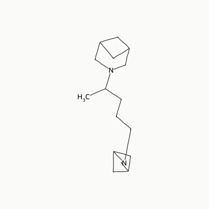 CC(CCCN1CC2CC1C2)N1CC2CC(C2)C1